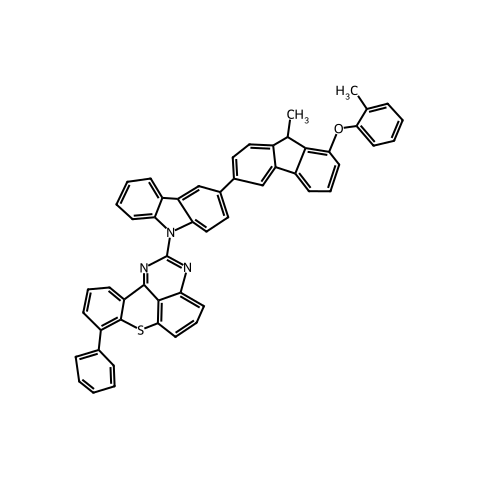 Cc1ccccc1Oc1cccc2c1C(C)c1ccc(-c3ccc4c(c3)c3ccccc3n4-c3nc4c5c(cccc5n3)Sc3c(-c5ccccc5)cccc3-4)cc1-2